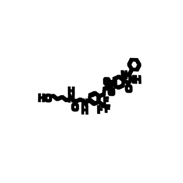 O=C(CNc1ccc(CCS(=O)(=O)N2CCC3(CC2)N=C(C2CCCCC2)NC3=O)c(C(F)(F)F)c1)NCCCCO